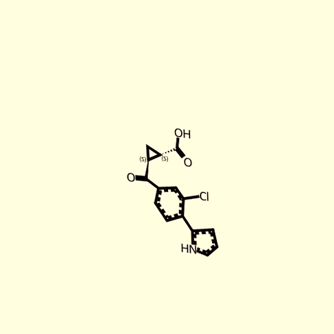 O=C(O)[C@H]1C[C@@H]1C(=O)c1ccc(-c2ccc[nH]2)c(Cl)c1